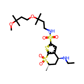 CCN[C@H]1C[C@H](C)S(=O)(=O)c2sc(S(=O)(=O)NCCC(C)(C)OCCC(C)(C)OC)cc21